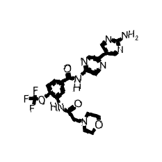 Nc1ncc(-c2cnc(NC(=O)c3ccc(OC(F)(F)F)c(NC(=O)CN4CCOCC4)c3)cn2)cn1